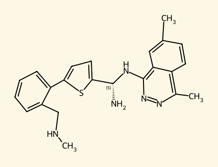 CNCc1ccccc1-c1ccc([C@@H](N)Nc2nnc(C)c3ccc(C)cc23)s1